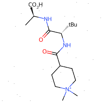 C[C@H](NC(=O)[C@@H](NC(=O)C1CC[N+](C)(C)CC1)C(C)(C)C)C(=O)O